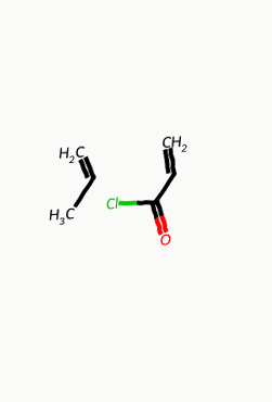 C=CC.C=CC(=O)Cl